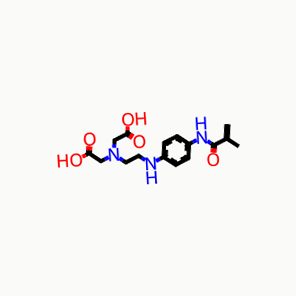 C=C(C)C(=O)Nc1ccc(NCCN(CC(=O)O)CC(=O)O)cc1